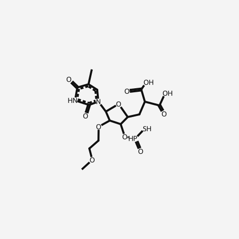 COCCOC1C(O[PH](=O)S)C(CC(C(=O)O)C(=O)O)OC1n1cc(C)c(=O)[nH]c1=O